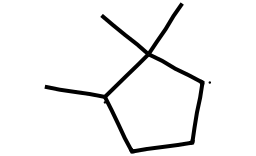 C[C]1CC[CH]C1(C)C